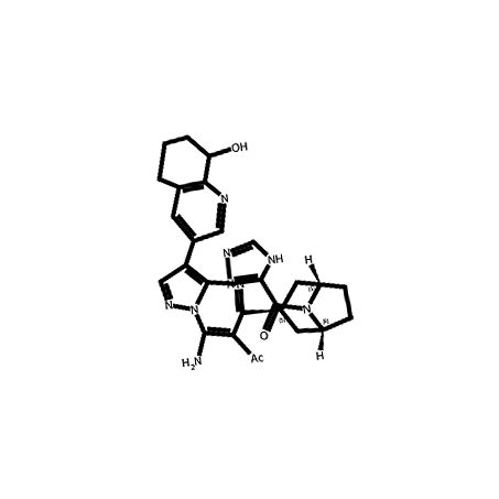 CC(=O)c1c([C@@H]2C[C@H]3CC[C@@H](C2)N3C(=O)c2nnc[nH]2)nc2c(-c3cnc4c(c3)CCCC4O)cnn2c1N